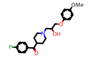 COc1ccc(OCC(O)CN2CCC(C(=O)c3ccc(F)cc3)CC2)cc1